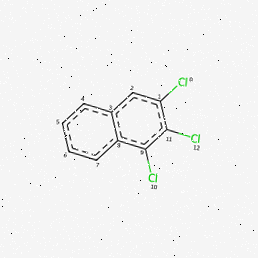 Clc1cc2ccccc2c(Cl)c1Cl